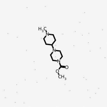 COC(=O)N1CCN(C2CCN(C)CC2)CC1